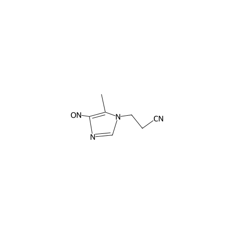 Cc1c(N=O)ncn1CCC#N